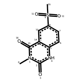 Cn1c(=O)[nH]c2ccc(S(C)(=O)=O)cc2c1=O